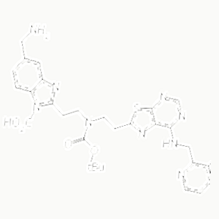 CC(C)(C)OC(=O)N(CCc1nc2c(NCc3ncccc3F)ncnc2s1)CCc1nc2cc(CN)ccc2n1C(=O)O